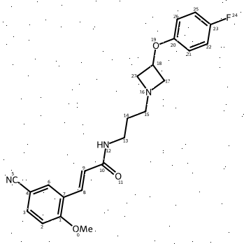 COc1ccc(C#N)cc1C=CC(=O)NCCCN1CC(Oc2ccc(F)cc2)C1